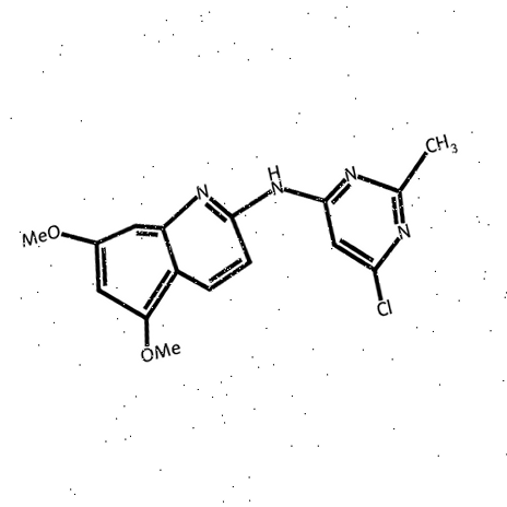 COc1cc(OC)c2ccc(Nc3cc(Cl)nc(C)n3)nc2c1